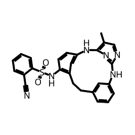 Cc1cnc2nc1Nc1ccc(NS(=O)(=O)c3ccccc3C#N)c(c1)CCc1cccc(c1)N2